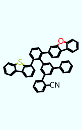 N#Cc1ccccc1-c1cc(-c2ccccc2)cc(-c2c(-c3ccc4c(c3)oc3ccccc34)cccc2-c2cccc3c2sc2ccccc23)c1